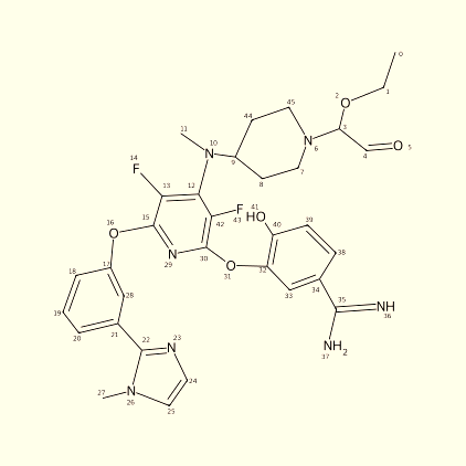 CCOC(C=O)N1CCC(N(C)c2c(F)c(Oc3cccc(-c4nccn4C)c3)nc(Oc3cc(C(=N)N)ccc3O)c2F)CC1